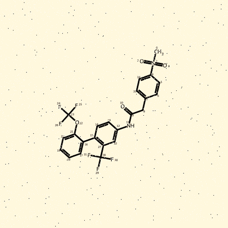 CS(=O)(=O)c1ccc(CC(=O)Nc2ccc(-c3ccccc3OC(F)(F)F)c(C(F)(F)F)c2)cc1